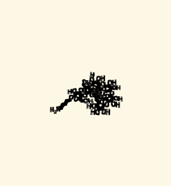 NCCCCCO[C@H]1OC(CO)[C@H](O[C@H]2OC(CO)[C@@H](O[C@@H]3OC(CO)[C@@H](O[C@@H]4OC(C(=O)O)[C@@H](O[C@H]5OC(CO)[C@H](O[C@H]6OC(CO)[C@@H](O)[C@H](O)C6O)[C@H](O)C5O)C(O)[C@@H]4O)C(O)[C@@H]3O)[C@H](O)C2O)[C@H](O)C1O